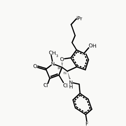 CC(C)CCCc1c(O)ccc2c1O[C@@]1(C(Cl)=C(Cl)C(=O)N1C)[C@H]2NCc1ccc(F)cc1